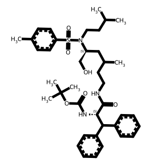 Cc1ccc(S(=O)(=O)N(CCC(C)C)[C@H](CO)CC(C)CCNC(=O)[C@@H](NC(=O)OC(C)(C)C)C(c2ccccc2)c2ccccc2)cc1